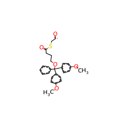 COc1ccc(C(OCCCC(=O)SC[C]=O)(c2ccccc2)c2ccc(OC)cc2)cc1